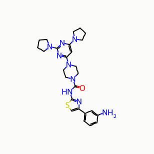 Nc1cccc(-c2csc(NC(=O)N3CCN(c4cc(N5CCCC5)nc(N5CCCC5)n4)CC3)n2)c1